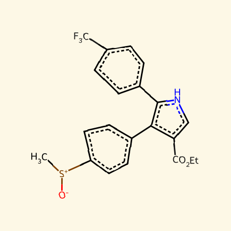 CCOC(=O)c1c[nH]c(-c2ccc(C(F)(F)F)cc2)c1-c1ccc([S+](C)[O-])cc1